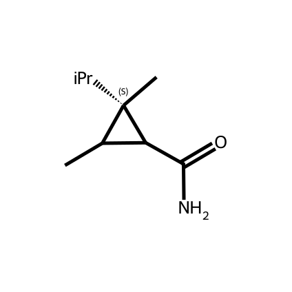 CC(C)[C@@]1(C)C(C)C1C(N)=O